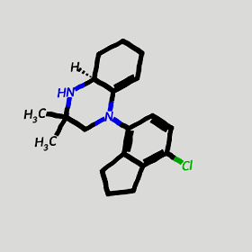 CC1(C)CN(c2ccc(Cl)c3c2CCC3)C2=CCCC[C@@H]2N1